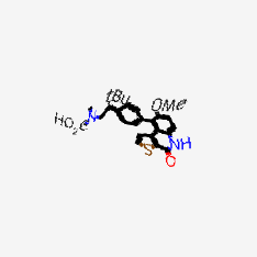 COc1ccc2[nH]c(=O)c3sccc3c2c1-c1ccc([C@H](CN(C)C(=O)O)C(C)(C)C)cc1